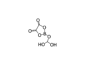 O=C1OB(OC(O)O)OC1=O